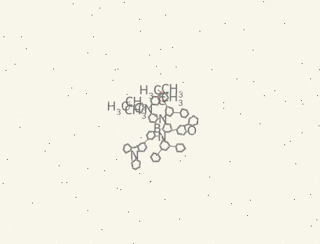 CC(C)(C)c1ccc(N(c2ccc(C(C)(C)C)cc2)c2ccc3c(c2)N(c2cc(-c4ccccc4)cc(-c4ccccc4)c2)c2cc(-c4ccc5oc6ccccc6c5c4)cc4c2B3c2ccc(-c3ccc5c(c3)c3ccccc3n5-c3ccccc3)cc2N4c2cc(-c3ccccc3)cc(-c3ccccc3)c2)cc1